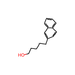 OCCC[CH]Cc1ccc2ccccc2c1